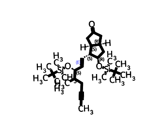 CC#CCC(C)[C@@H](/C=C/[C@@H]1[C@H]2CC(=O)C[C@H]2C[C@H]1O[Si](C)(C)C(C)(C)C)O[Si](C)(C)C(C)(C)C